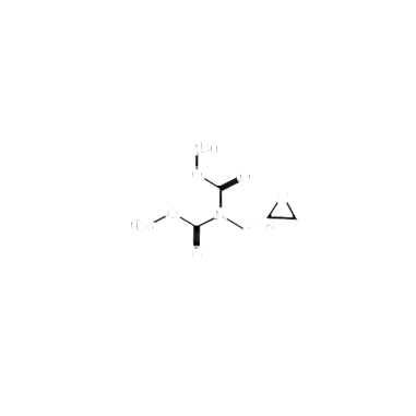 CC(C)(C)OC(=O)N(C[C@H]1CO1)C(=O)OC(C)(C)C